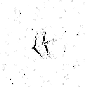 ClCCl.[Cl][Pd][Cl].[Fe]